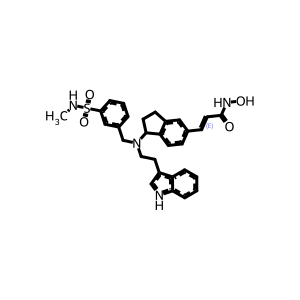 CNS(=O)(=O)c1cccc(CN(CCc2c[nH]c3ccccc23)C2CCc3cc(/C=C/C(=O)NO)ccc32)c1